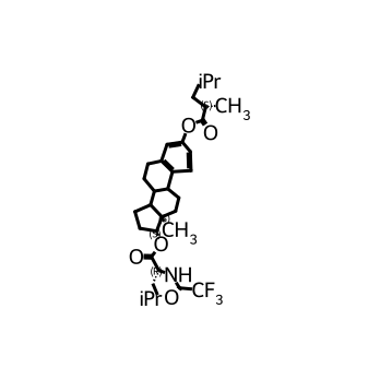 CC(C)C[C@H](C)C(=O)Oc1ccc2c(c1)CCC1C2CC[C@@]2(C)C1CC[C@@H]2OC(=O)[C@@H](CC(C)C)NC(=O)C(F)(F)F